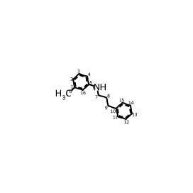 Cc1cccc(NCCCc2ccccc2)c1